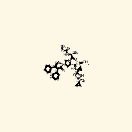 C=C[C@@H]1C[C@]1(NC(=O)[C@@H]1C[C@@H](n2ncc(-c3ccccc3)c(-c3ccccc3)c2=O)CN1C(=O)[C@@H](NC(=O)OC(C)(C)C)C(C)(C)C)C(=O)NS(=O)(=O)C1CC1